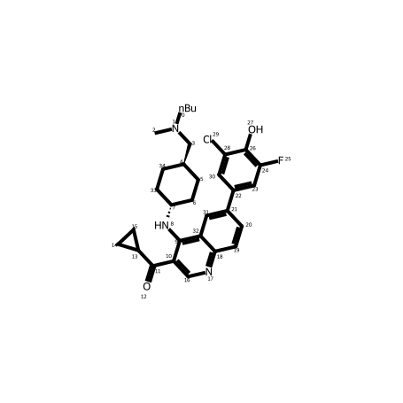 CCCCN(C)C[C@H]1CC[C@H](Nc2c(C(=O)C3CC3)cnc3ccc(-c4cc(F)c(O)c(Cl)c4)cc23)CC1